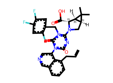 C=CCc1cccc2cncc(-n3c(=O)nc(N4C[C@H]5[C@@H]([C@H]4C(=O)O)C5(C)C)n(Cc4cc(F)c(F)cc4F)c3=O)c12